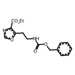 CCOC(=O)c1ncoc1CCNC(=O)OCc1ccccc1